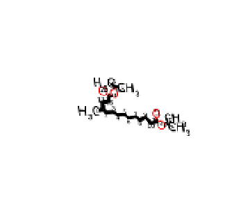 CC(CCCCCCCCCC(=O)OC(C)C)CCC(=O)OC(C)C